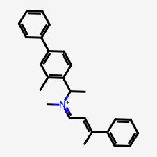 C/C(=C\C=[N+](\C)C(C)c1ccc(-c2ccccc2)cc1C)c1ccccc1